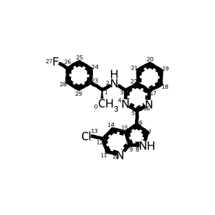 C[C@H](Nc1nc(-c2c[nH]c3ncc(Cl)cc23)nc2ccccc12)c1ccc(F)cc1